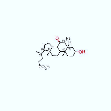 CC[C@H]1C(=O)C2C3CC[C@H]([C@H](C)CCC(=O)O)[C@@]3(C)CCC2[C@@]2(C)CCC(O)C[C@@H]12